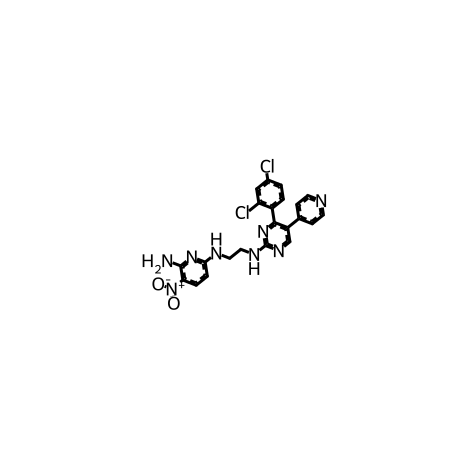 Nc1nc(NCCNc2ncc(-c3ccncc3)c(-c3ccc(Cl)cc3Cl)n2)ccc1[N+](=O)[O-]